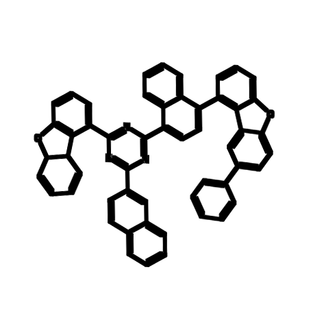 C1=CC2Oc3cccc(-c4nc(-c5ccc6ccccc6c5)nc(-c5ccc(-c6cccc7oc8ccc(-c9ccccc9)cc8c67)c6ccccc56)n4)c3C2C=C1